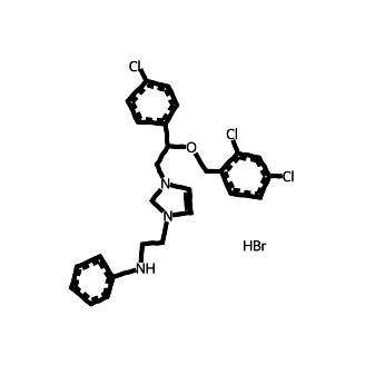 Br.Clc1ccc(C(CN2C=CN(CCNc3ccccc3)C2)OCc2ccc(Cl)cc2Cl)cc1